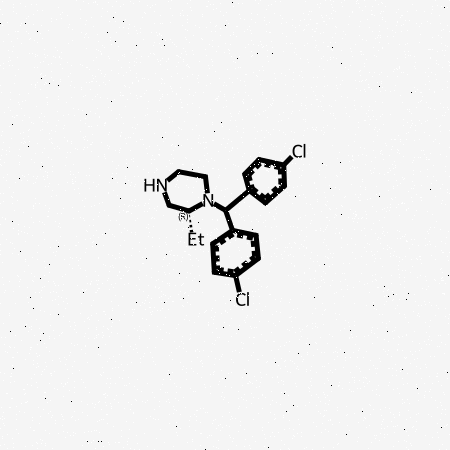 CC[C@@H]1CNCCN1C(c1ccc(Cl)cc1)c1ccc(Cl)cc1